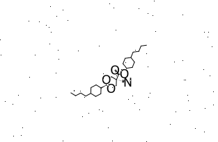 CCCCC1CCC(OC(=O)[C@]2(C#N)CO[C@H](C3CCC(CCCC)CC3)OC2)CC1